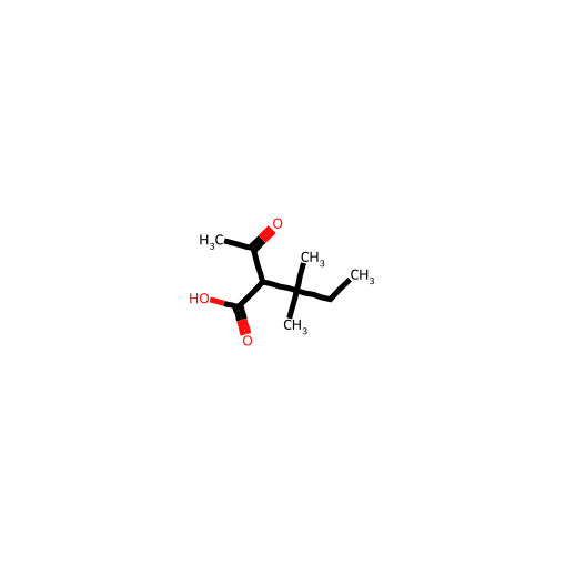 CCC(C)(C)C(C(C)=O)C(=O)O